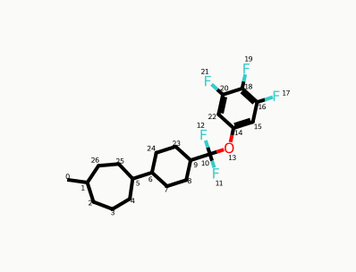 CC1CCCC(C2CCC(C(F)(F)Oc3cc(F)c(F)c(F)c3)CC2)CC1